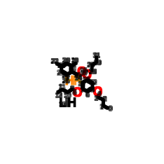 CCCCOc1cc(OCCCC)c(PC(=O)c2c(C)cc(C)cc2C)c(OCCCC)c1.[LiH]